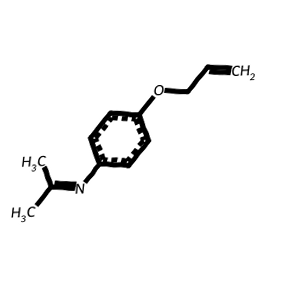 C=CCOc1ccc(N=C(C)C)cc1